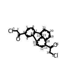 O=C(CCl)c1ccc2c(c1)-c1ccc(C(=O)CCl)c3cccc-2c13